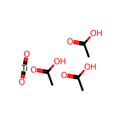 CC(=O)O.CC(=O)O.CC(=O)O.[O]=[Ti]=[O]